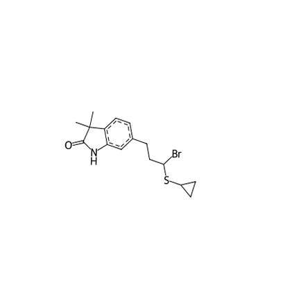 CC1(C)C(=O)Nc2cc(CCC(Br)SC3CC3)ccc21